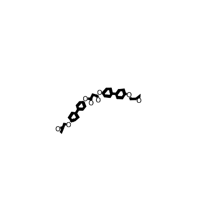 O=C(CC(=O)Oc1ccc(-c2ccc(OCC3CO3)cc2)cc1)Oc1ccc(-c2ccc(OCC3CO3)cc2)cc1